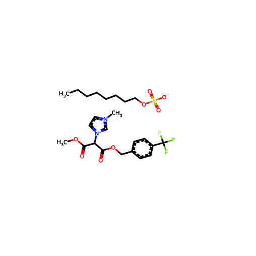 CCCCCCCCOS(=O)(=O)[O-].COC(=O)C(C(=O)OCc1ccc(C(F)(F)F)cc1)[n+]1ccn(C)c1